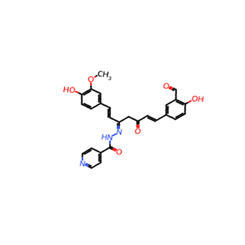 COc1cc(/C=C/C(CC(=O)/C=C/c2ccc(O)c(C=O)c2)=N\NC(=O)c2ccncc2)ccc1O